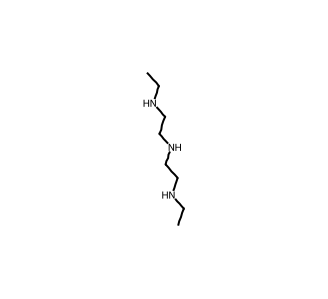 CCNCCNCCNCC